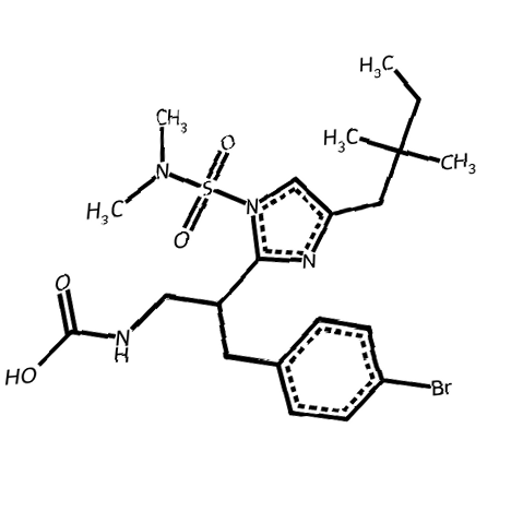 CCC(C)(C)Cc1cn(S(=O)(=O)N(C)C)c(C(CNC(=O)O)Cc2ccc(Br)cc2)n1